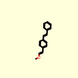 COC=Cc1ccc(C=Cc2ccccc2)cc1